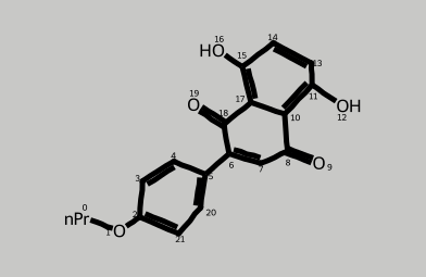 CCCOc1ccc(C2=CC(=O)c3c(O)ccc(O)c3C2=O)cc1